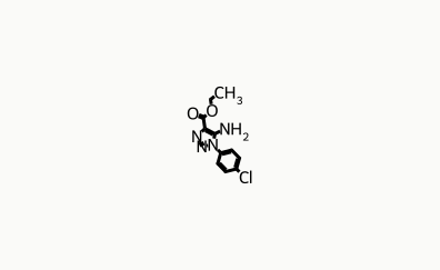 CCOC(=O)c1nnn(-c2ccc(Cl)cc2)c1N